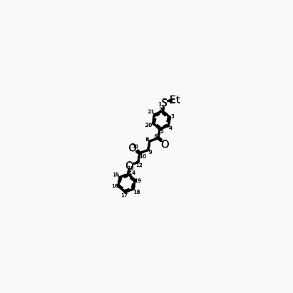 CCSc1ccc(C(=O)CCC(=O)COc2ccccc2)cc1